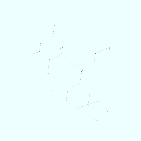 CCOC(=O)C1=CC2(CCC1S(=O)(=O)Nc1ccc(F)cc1F)OCCO2